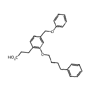 O=C(O)CCc1ccc(COc2ccccc2)cc1OCCCCc1ccccc1